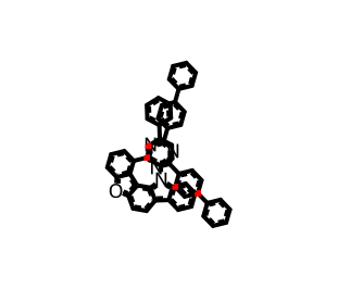 c1ccc(-c2ccc(-c3nc(-c4ccc(-c5ccccc5)cc4)nc(-c4cccc5oc6ccc7c8ccccc8n(-c8ccc(-c9ccccc9)cc8)c7c6c45)n3)cc2)cc1